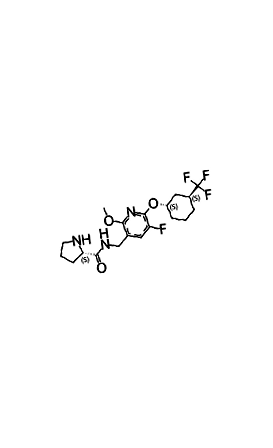 COc1nc(O[C@H]2CCC[C@H](C(F)(F)F)C2)c(F)cc1CNC(=O)[C@@H]1CCCN1